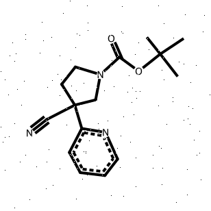 CC(C)(C)OC(=O)N1CCC(C#N)(c2ccccn2)C1